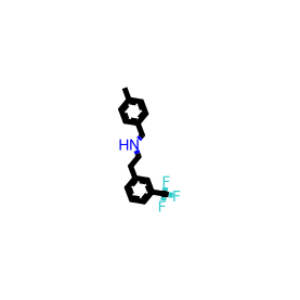 Cc1ccc(CNCCc2cccc(C(F)(F)F)c2)cc1